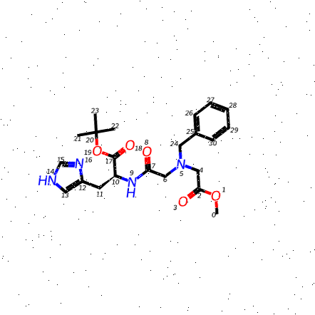 COC(=O)CN(CC(=O)N[C@@H](Cc1c[nH]cn1)C(=O)OC(C)(C)C)Cc1ccccc1